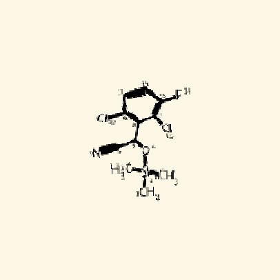 C[Si](C)(C)OC(C#N)c1c(Cl)ccc(F)c1Cl